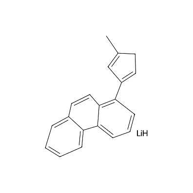 CC1=CC(c2cccc3c2ccc2ccccc23)=CC1.[LiH]